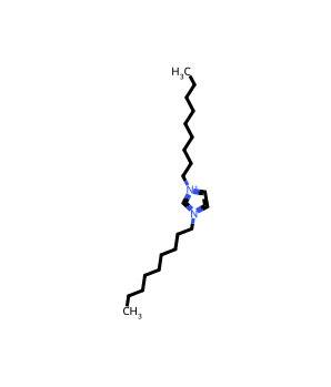 CCCCCCCCCn1cc[n+](CCCCCCCCC)c1